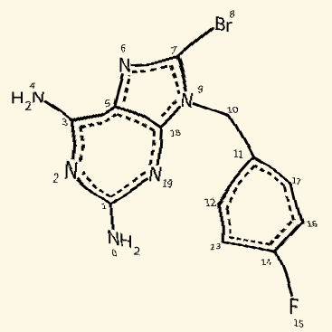 Nc1nc(N)c2nc(Br)n(Cc3ccc(F)cc3)c2n1